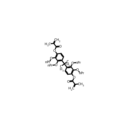 C=C(C)C(=O)Oc1ccc(C(C)(C)c2ccc(OC(=O)C(=C)C)c(OCCC)c2OCCC)c(OCCC)c1OCCC